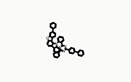 c1ccc(-c2ccc(-c3nc(-c4ccccc4)nc(-c4ccccc4-n4c5ccccc5c5ccc6oc7cc(-c8ccccc8)ccc7c6c54)n3)cc2)cc1